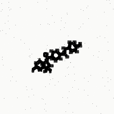 Cc1ccc2c(n1)C(C)(C)CN2C(=O)C1CCC(N(C)Cc2ccc(F)cc2)CC1